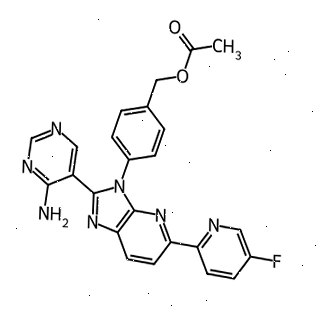 CC(=O)OCc1ccc(-n2c(-c3cncnc3N)nc3ccc(-c4ccc(F)cn4)nc32)cc1